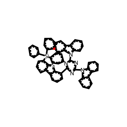 c1ccc([Si](c2ccccc2)(c2ccccc2)c2cccc3c2sc2c(-c4nc(-n5c6ccccc6c6ccccc65)nc(-n5c6ccccc6c6ccccc65)n4)cccc23)cc1